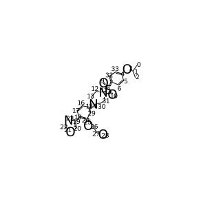 CC(C)Oc1ccc(S(=O)(=O)N2CCN(c3ccc(-c4cocn4)c(OCC=O)c3)CC2)cc1